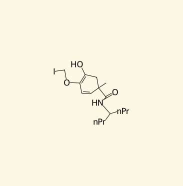 CCCC(CCC)NC(=O)C1(C)C=CC(OCI)=C(O)C1